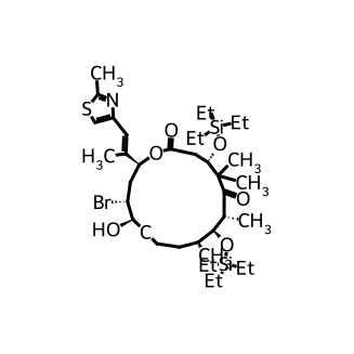 CC[Si](CC)(CC)O[C@H]1[C@@H](C)CCC[C@@H](O)[C@H](Br)C[C@@H](/C(C)=C/c2csc(C)n2)OC(=O)C[C@H](O[Si](CC)(CC)CC)C(C)(C)C(=O)[C@@H]1C